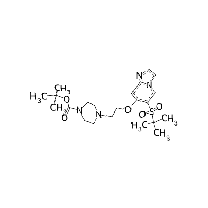 CC(C)(C)OC(=O)N1CCN(CCOc2cc3nccn3cc2S(=O)(=O)C(C)(C)C)CC1